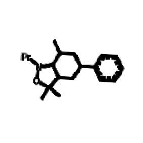 CC1CC(c2ccccc2)CC2C1N(C(C)C)OC2(C)C